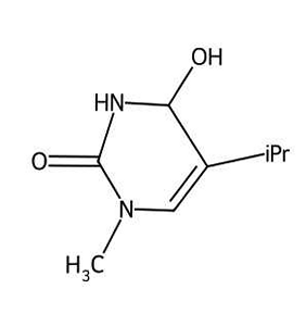 CC(C)C1=CN(C)C(=O)NC1O